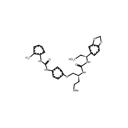 CSCC[C@@H](CSc1ccc(NC(=O)Nc2ccccc2C)cc1)NC(=O)N[C@@H](CC(=O)O)c1ccc2c(c1)OCO2